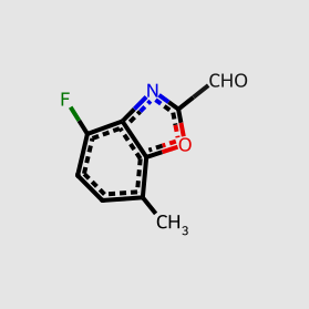 Cc1ccc(F)c2nc(C=O)oc12